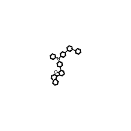 c1ccc(-c2cccc(-c3ccc(N(c4ccccc4)c4ccc(-c5cccc6c5oc5ccc7ccccc7c56)cc4)cc3)c2)cc1